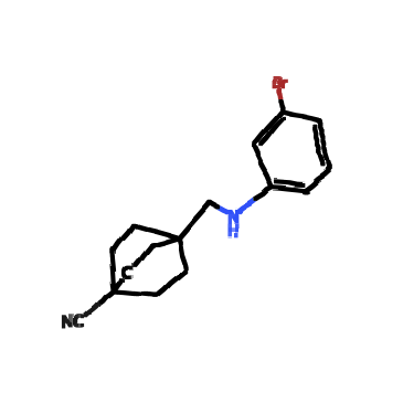 N#CC12CCC(CNc3cccc(Br)c3)(CC1)CC2